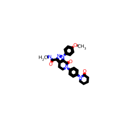 C=NC(=O)c1nn(-c2ccc(OC)cc2)c2c1CCN(c1ccc(N3CCCCC3=O)cc1)C2=O